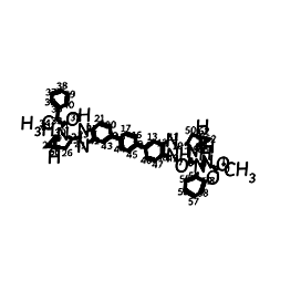 COC(=O)NN(C(=O)N1[C@H](c2nc3cc(-c4ccc(-c5ccc6[nH]c([C@@H]7C[C@@H]8C[C@@H]8N7C(=O)[C@H](C)c7ccccc7)nc6c5)cc4)ccc3[nH]2)C[C@@H]2C[C@@H]21)c1ccccc1